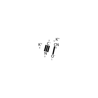 N#C[O-].[C-]#N.[K+].[K+]